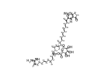 COC(=O)C1OC(OC(/C(C)=C/C(C)CCC/C=C/C(C)C/C=C/CCCN(C)C(=N)N)C(C)/C=C/C=C/C=C/C=C/C=C(\C)C(=O)NC2=C(OC)CCC2=O)C(O)C(O)C1O